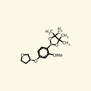 COc1cc(O[C@H]2CCOC2)ccc1B1OC(C)(C)C(C)(C)O1